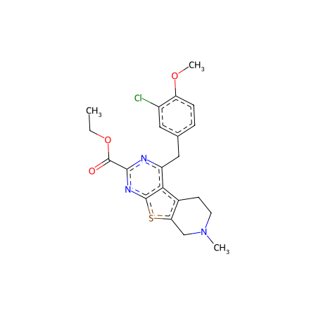 CCOC(=O)c1nc(Cc2ccc(OC)c(Cl)c2)c2c3c(sc2n1)CN(C)CC3